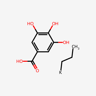 CC[CH2][K].O=C(O)c1cc(O)c(O)c(O)c1